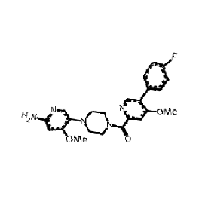 COc1cc(C(=O)N2CCN(c3cnc(N)cc3OC)CC2)ncc1-c1ccc(F)cc1